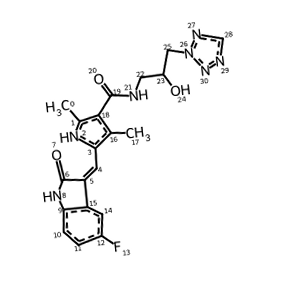 Cc1[nH]c(/C=C2\C(=O)Nc3ccc(F)cc32)c(C)c1C(=O)NCC(O)Cn1ncnn1